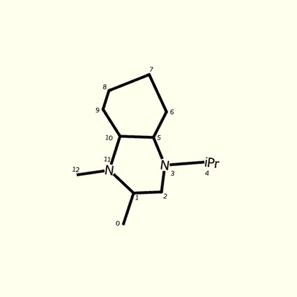 CC1CN(C(C)C)C2CCCCC2N1C